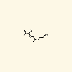 C=C(C)C(=O)OCC(C)CCCC(C)C